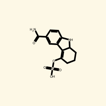 NC(=O)c1ccc2c(c1)C1=C(OS(=O)(=O)O)CCCC1N2